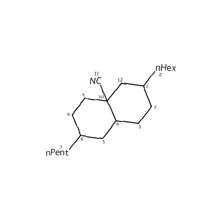 CCCCCCC1CCC2CC(CCCCC)CCC2(C#N)C1